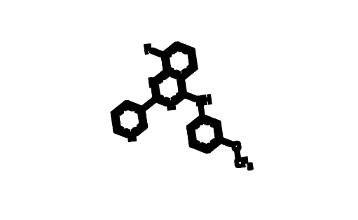 Fc1cccc2c(Nc3cccc(OC(F)(F)F)c3)nc(-c3cccnc3)nc12